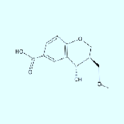 COC[C@@H]1COc2ccc(C(=O)O)cc2[C@H]1O